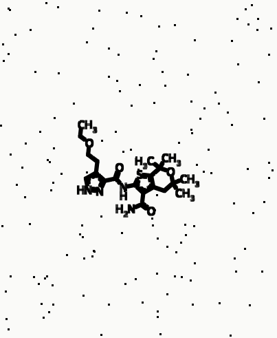 CCOCCc1c[nH]nc1C(=O)Nc1sc2c(c1C(N)=O)CC(C)(C)OC2(C)C